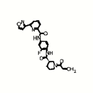 C=CC(=O)N1CCC[C@@H](C(=O)Nc2ccc(NC(=O)c3cccc(-c4ccon4)n3)cc2F)C1